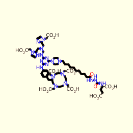 O=C(O)CC[C@H](NC(=O)NNC(=O)CCCCCCCCCCN1CCN(c2nc(NCN(Cc3nccn3CC(=O)O)Cc3nccn3CC(=O)O)nc(Nc3ccc(CC4CN(CC(=O)O)CCN(CC(=O)O)CCN(CC(=O)O)CCN4CC(=O)O)cc3)n2)CC1)C(=O)O